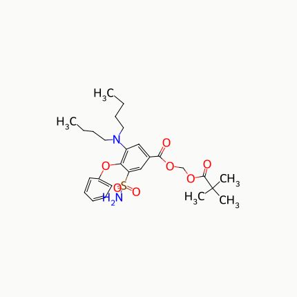 CCCCN(CCCC)c1cc(C(=O)OCOC(=O)C(C)(C)C)cc(S(N)(=O)=O)c1Oc1ccccc1